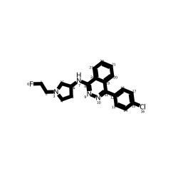 FCCN1CCC(Nc2nnc(-c3ccc(Cl)cc3)c3ccccc23)C1